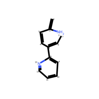 C=C(N)/C=C\C(=C/C)c1ccccn1